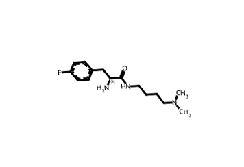 CN(C)CCCCNC(=O)[C@@H](N)Cc1ccc(F)cc1